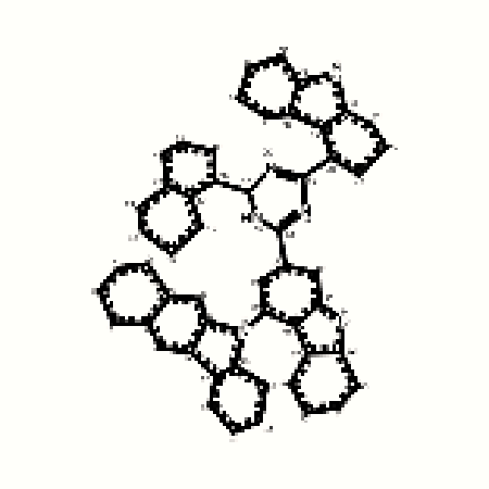 c1ccc2cc3c(cc2c1)c1ccccc1n3-c1cc(C2=NC(c3cccc4oc5ccccc5c34)=NC(c3cccc4ccccc34)N2)cc2oc3ccccc3c12